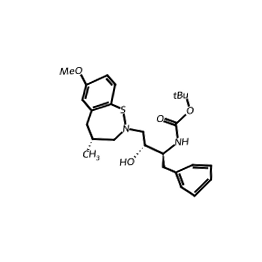 COc1ccc2c(c1)C[C@@H](C)CN(C[C@@H](O)[C@H](Cc1ccccc1)NC(=O)OC(C)(C)C)S2